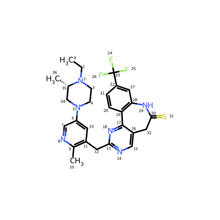 CCN1CCN(c2cnc(C)c(Cc3ncc4c(n3)-c3ccc(C(F)(F)F)cc3NC(=S)C4)c2)C[C@@H]1C